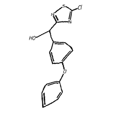 OC(c1ccc(Oc2ccccc2)cc1)c1nsc(Cl)n1